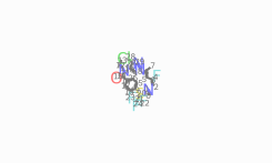 C=N/C=C(F)\C=C(/C)n1cc(N(CC)C(=O)c2ccc(SC(F)(F)F)cc2)c(Cl)n1